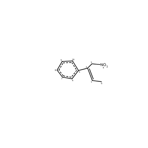 CC=C(C[N+](=O)[O-])c1ccccc1